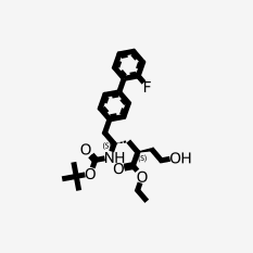 CCOC(=O)[C@H](CCO)C[C@@H](Cc1ccc(-c2ccccc2F)cc1)NC(=O)OC(C)(C)C